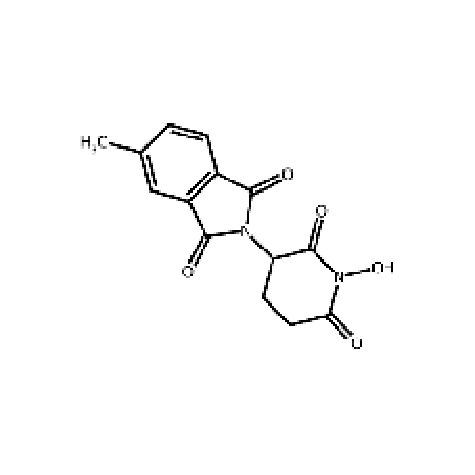 Cc1ccc2c(c1)C(=O)N(C1CCC(=O)N(O)C1=O)C2=O